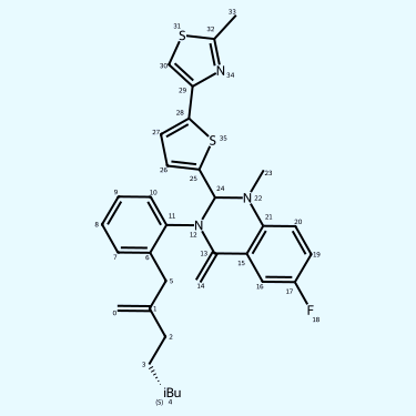 C=C(CC[C@@H](C)CC)Cc1ccccc1N1C(=C)c2cc(F)ccc2N(C)C1c1ccc(-c2csc(C)n2)s1